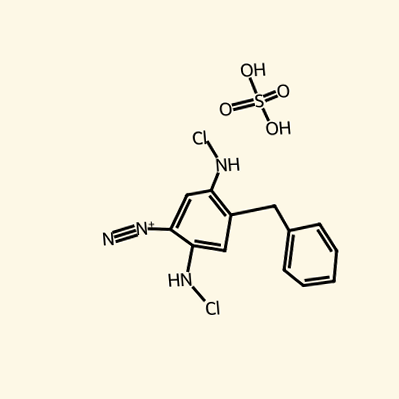 N#[N+]c1cc(NCl)c(Cc2ccccc2)cc1NCl.O=S(=O)(O)O